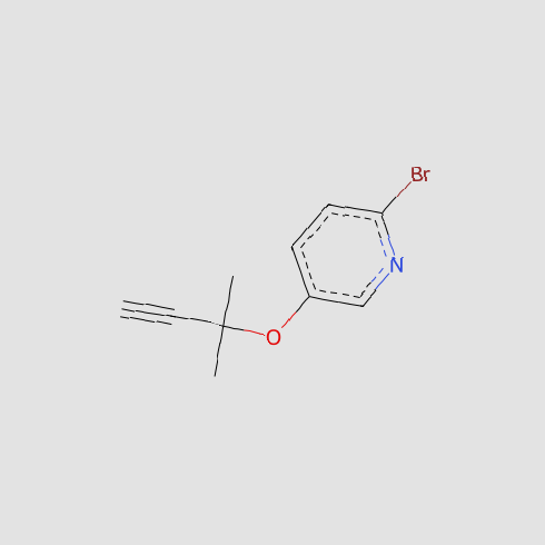 C#CC(C)(C)Oc1ccc(Br)nc1